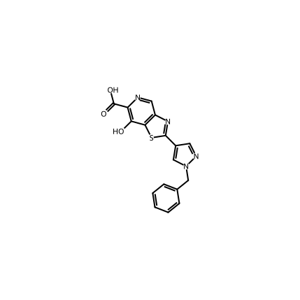 O=C(O)c1ncc2nc(-c3cnn(Cc4ccccc4)c3)sc2c1O